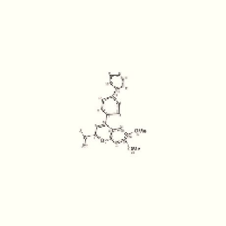 CCN(C)C(=O)C=C(c1ccc(-c2ccccc2)cc1)c1ccc(OC)c(OC)c1